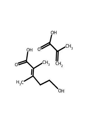 C=C(C)C(=O)O.CC(CCO)=C(C)C(=O)O